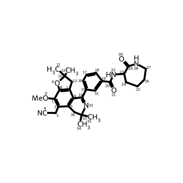 COc1c(CC#N)c2c(c3c1OC(C)(C)C3)C(c1cccc(C(=O)NC3CCCCNC3=O)c1)=NC(C)(C)C2